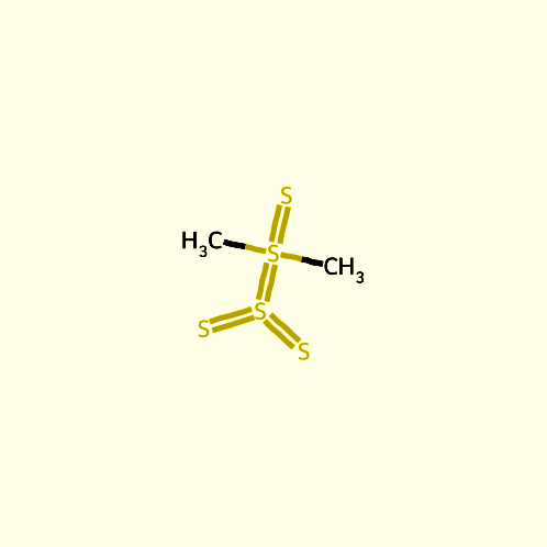 CS(C)(=S)=S(=S)=S